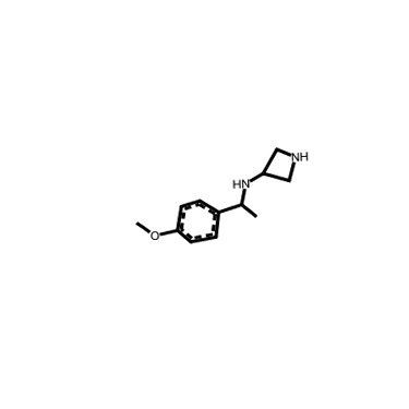 COc1ccc(C(C)NC2CNC2)cc1